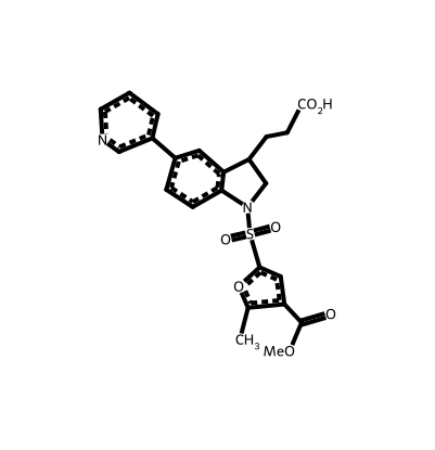 COC(=O)c1cc(S(=O)(=O)N2CC(CCC(=O)O)c3cc(-c4cccnc4)ccc32)oc1C